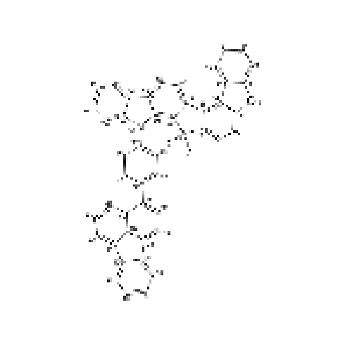 CC1(C)c2ccc3oc4ccccc4c3c2-c2ccc3c4ccccc4n(-c4ccc(C5=CC=C6c7ccccc7C7=CC=CC5C76)cc4)c3c21